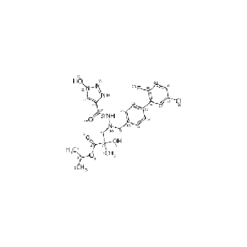 CC(C)OC(=O)C(C)(O)CN(Cc1ccc(-c2cc(Cl)ccc2F)cc1)NC(=O)c1cn(O)nn1